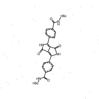 CCCCNC(=O)c1ccc(C2=C3C(=O)NC(c4ccc(C(=O)NCCCC)cc4)=C3C(=O)N2)cc1